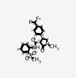 CN1C[C@H](c2ccc(C(F)F)cc2)[C@@H](C(=O)Nc2ccccc2S(C)(=O)=O)C1=O